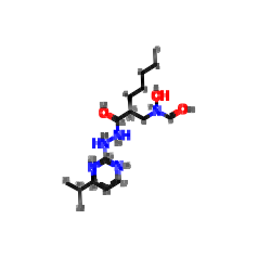 CCCCC[C@@H](CN(O)C=O)C(=O)NNc1nccc(C(C)C)n1